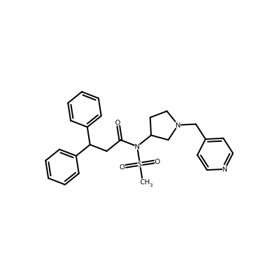 CS(=O)(=O)N(C(=O)CC(c1ccccc1)c1ccccc1)C1CCN(Cc2ccncc2)C1